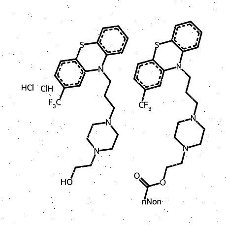 CCCCCCCCCC(=O)OCCN1CCN(CCCN2c3ccccc3Sc3ccc(C(F)(F)F)cc32)CC1.Cl.Cl.OCCN1CCN(CCCN2c3ccccc3Sc3ccc(C(F)(F)F)cc32)CC1